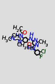 C=CC(=O)Nc1cc(Nc2cc(Nc3ccc(F)c(Cl)c3)nc(C)n2)c(OC)cc1N(C)CCN(C)C